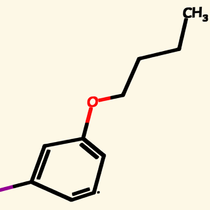 CCCCOc1c[c]cc(I)c1